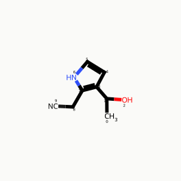 CC(O)c1cc[nH]c1CC#N